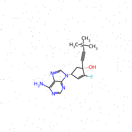 C[Si](C)(C)C#C[C@]1(O)C[C@@H](n2cnc3c(N)ncnc32)C=C1F